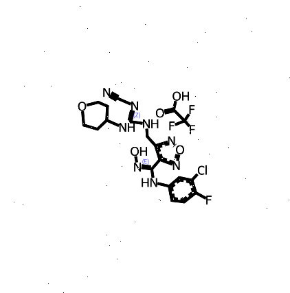 N#C/N=C(/NCc1nonc1/C(=N\O)Nc1ccc(F)c(Cl)c1)NC1CCOCC1.O=C(O)C(F)(F)F